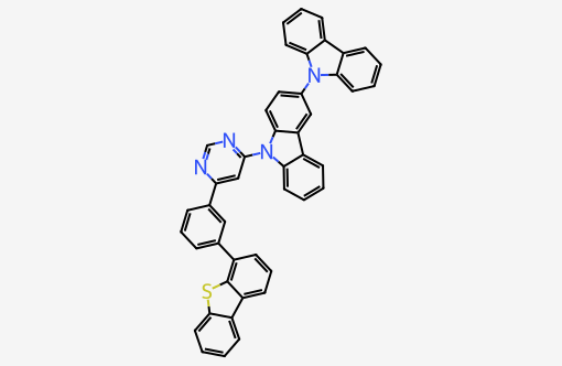 c1cc(-c2cc(-n3c4ccccc4c4cc(-n5c6ccccc6c6ccccc65)ccc43)ncn2)cc(-c2cccc3c2sc2ccccc23)c1